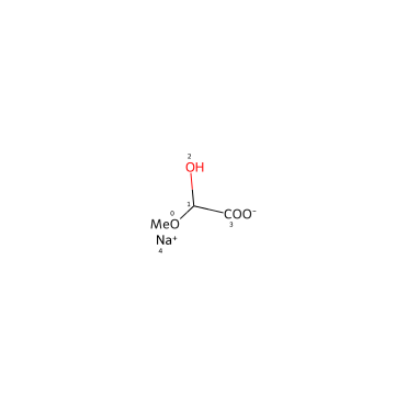 COC(O)C(=O)[O-].[Na+]